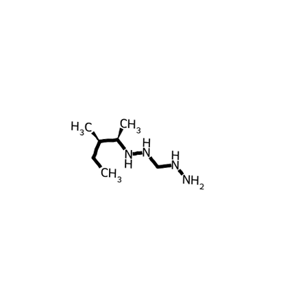 CC[C@@H](C)[C@@H](C)NNCNN